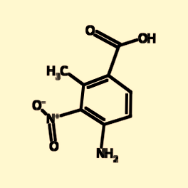 Cc1c(C(=O)O)ccc(N)c1[N+](=O)[O-]